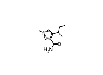 CCC(C)c1cn(C)nc1C(N)=O